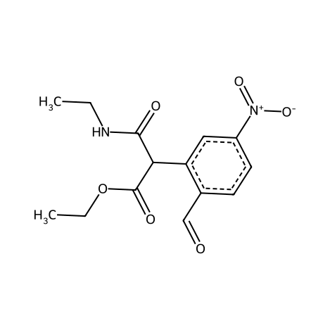 CCNC(=O)C(C(=O)OCC)c1cc([N+](=O)[O-])ccc1C=O